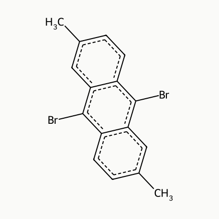 Cc1ccc2c(Br)c3cc(C)ccc3c(Br)c2c1